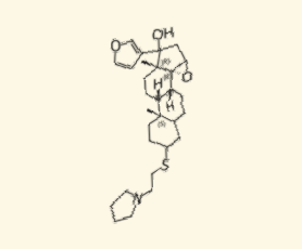 C[C@]12CCC(SCCN3CCCC3)CC1CC[C@@H]1[C@H]2CC[C@]2(C)C(O)(c3ccoc3)CC3O[C@]312